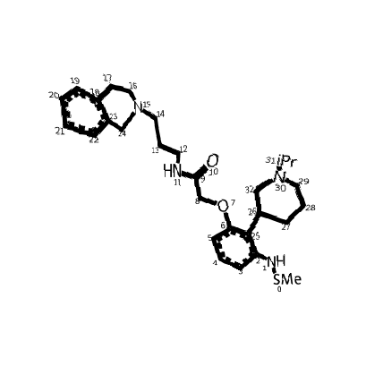 CSNc1cccc(OCC(=O)NCCCN2CCc3ccccc3C2)c1C1CCCN(C(C)C)C1